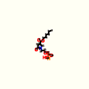 CCCCCCOC(=O)C1CC(=O)N(CCOO[PH](=O)O)C1